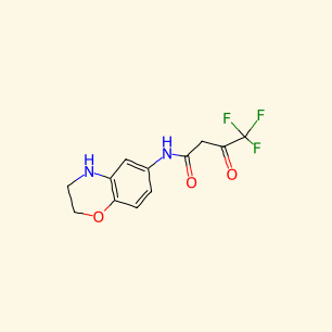 O=C(CC(=O)C(F)(F)F)Nc1ccc2c(c1)NCCO2